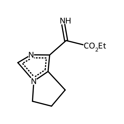 CCOC(=O)C(=N)c1ncn2c1CCC2